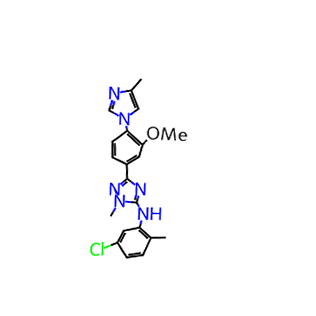 COc1cc(-c2nc(Nc3cc(Cl)ccc3C)n(C)n2)ccc1-n1cnc(C)c1